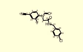 N#Cc1ccc(N(C=O)CC(=O)NCc2ccc(Cl)cc2)c(F)c1